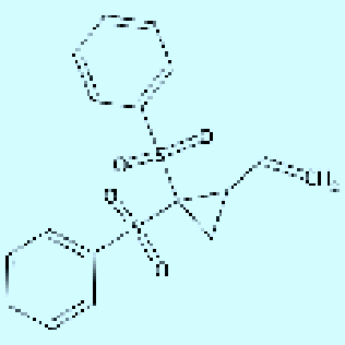 C=CC1CC1(S(=O)(=O)c1ccccc1)S(=O)(=O)c1ccccc1